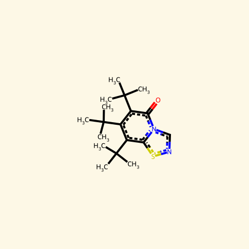 CC(C)(C)c1c(C(C)(C)C)c(=O)n2cnsc2c1C(C)(C)C